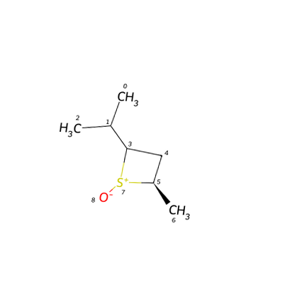 CC(C)C1C[C@@H](C)[S+]1[O-]